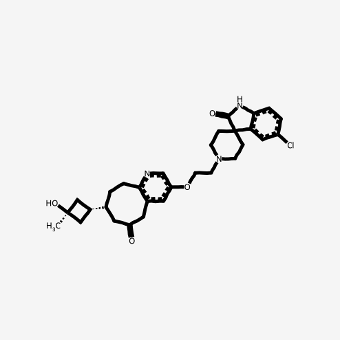 C[C@]1(O)C[C@H](C2CCc3ncc(OCCN4CCC5(CC4)C(=O)Nc4ccc(Cl)cc45)cc3CC(=O)C2)C1